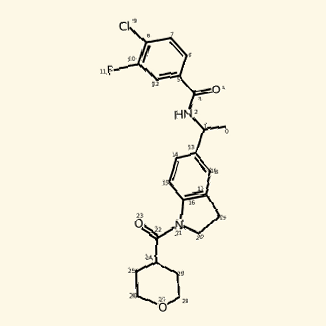 CC(NC(=O)c1ccc(Cl)c(F)c1)c1ccc2c(c1)CCN2C(=O)C1CCOCC1